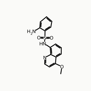 COc1ccnc2c(NS(=O)(=O)c3ccccc3N)cccc12